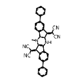 CN1C2=C(NC3C(=C(C#N)C#N)c4cc(-c5ccccc5)ccc4C31)c1ccc(-c3ccccc3)cc1C2=C(C#N)C#N